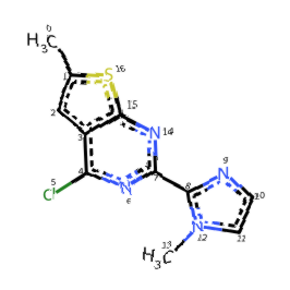 Cc1cc2c(Cl)nc(-c3nccn3C)nc2s1